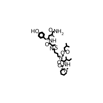 CCC(C)[C@H](NC(=O)[C@H]1CCCCN1C)C(=O)N(CCCc1nc(C(=O)N[C@@H](Cc2ccc(O)cc2)C[C@H](C)C(N)=O)cs1)COC(=O)CC(C)C